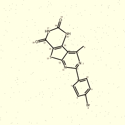 Cc1nc(-c2ccc(Br)cc2)nc2sc3c(=O)[nH]c(=O)[nH]c3c12